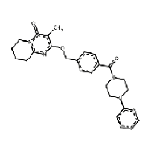 Cc1c(OCc2ccc(C(=O)N3CCN(c4ccccn4)CC3)cc2)nc2n(c1=O)CCCC2